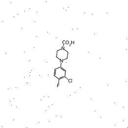 O=C(O)N1CCN(c2ccc(F)c(Cl)c2)CC1